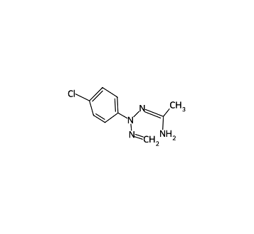 C=NN(/N=C(/C)N)c1ccc(Cl)cc1